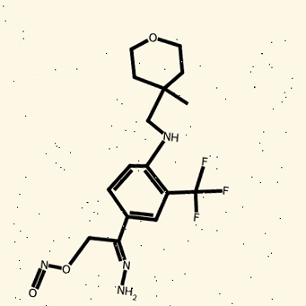 CC1(CNc2ccc(/C(CON=O)=N/N)cc2C(F)(F)F)CCOCC1